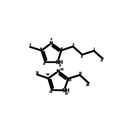 CCCCc1nc(C)c[nH]1.CCc1nc(C)c[nH]1